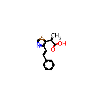 C=C(C(=O)O)c1scnc1C=Cc1ccccc1